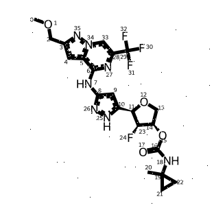 COCc1cc2c(Nc3cc([C@H]4OC[C@@H](OC(=O)NC5(C)CC5)[C@H]4F)[nH]n3)nc(C(F)(F)F)cn2n1